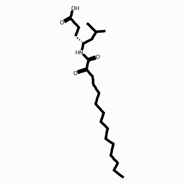 CCCCCCCCCCCCCC(=O)C(=O)N[C@H](CCC(=O)O)CC(C)C